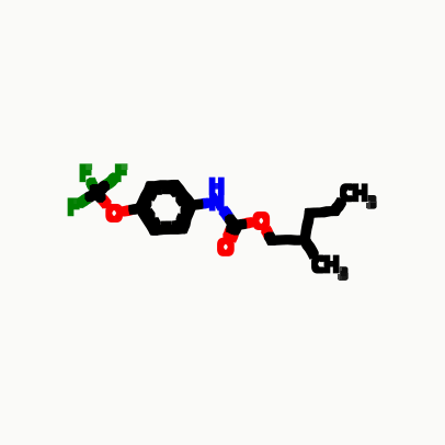 CCCC(C)COC(=O)Nc1ccc(OC(F)(F)F)cc1